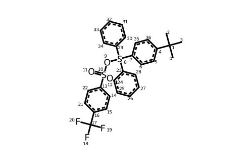 CC(C)(C)c1ccc(S(OS(=O)(=O)c2ccc(C(F)(F)F)cc2)(c2ccccc2)c2ccccc2)cc1